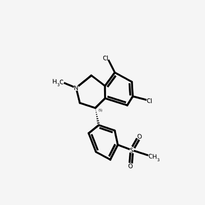 CN1Cc2c(Cl)cc(Cl)cc2[C@H](c2cccc(S(C)(=O)=O)c2)C1